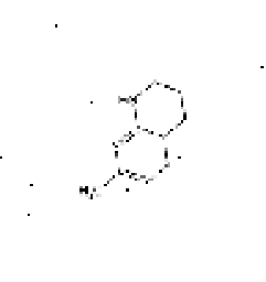 CC1=CCC2CCCNC2=N1